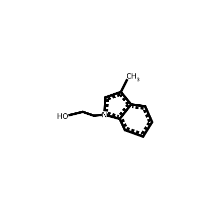 Cc1cn(CCO)c2ccccc12